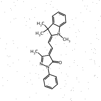 CC1=NN(c2ccccc2)C(=O)C1=CC=C1N(C)c2ccccc2C1(C)C